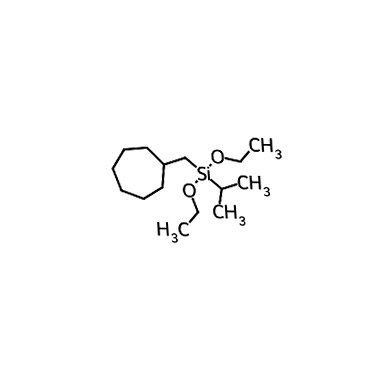 CCO[Si](CC1CCCCCC1)(OCC)C(C)C